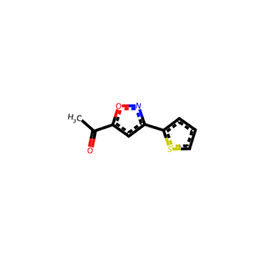 CC(=O)c1cc(-c2cccs2)no1